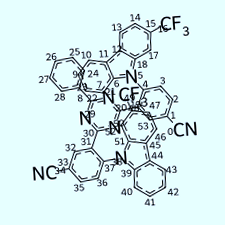 N#Cc1ccc(-n2c3ccccc3c3ccc(C(F)(F)F)cc32)c(-c2nc(-c3ccccc3)nc(-c3cc(C#N)ccc3-n3c4ccccc4c4ccc(C(F)(F)F)cc43)n2)c1